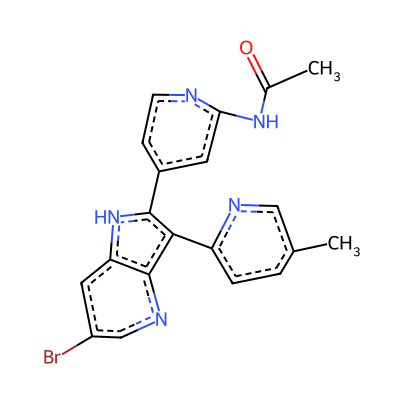 CC(=O)Nc1cc(-c2[nH]c3cc(Br)cnc3c2-c2ccc(C)cn2)ccn1